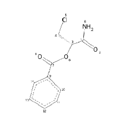 NC(=O)[C@@H](CCl)OC(=O)c1ccccc1